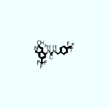 Cc1cc2c(NC(=O)NCc3ccc(C(F)(F)F)cc3)cc(C(F)(F)F)cc2cn1